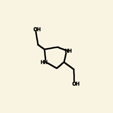 OCC1CNC(CO)CN1